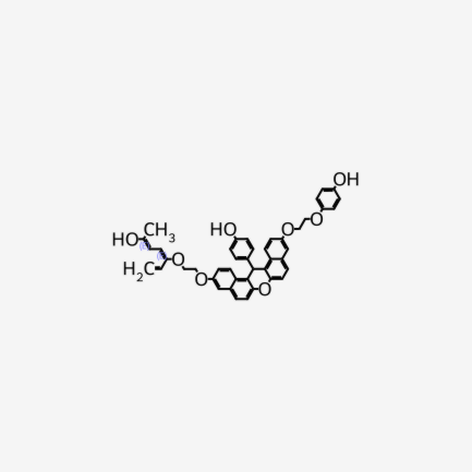 C=C/C(=C\C=C(/C)O)OCCOc1ccc2c3c(ccc2c1)Oc1ccc2cc(OCCOc4ccc(O)cc4)ccc2c1C3c1ccc(O)cc1